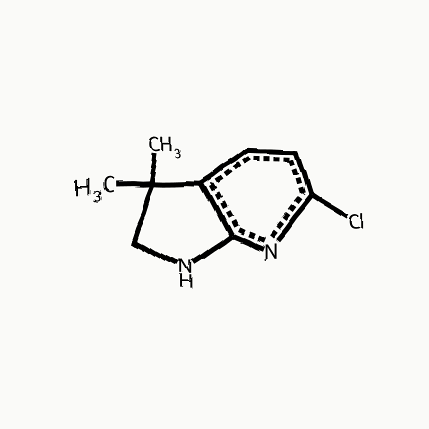 CC1(C)CNc2nc(Cl)ccc21